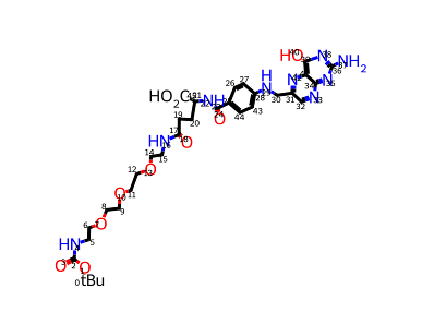 CC(C)(C)OC(=O)NCCOCCOCCOCCNC(=O)CCC(NC(=O)c1ccc(NCc2cnc3nc(N)nc(O)c3n2)cc1)C(=O)O